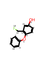 Oc1ccc(Oc2ccccc2)c(CF)c1